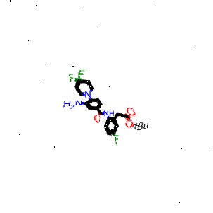 CC(C)(C)OC(=O)Cc1cc(F)ccc1NC(=O)c1ccc(N2CCC(F)(F)CC2)c(N)c1